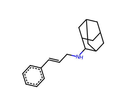 C(=Cc1ccccc1)CNC1C2CC3CC(C2)CC1C3